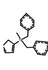 [CH3][Ti]([CH2]c1ccccc1)([CH2]c1ccccc1)[C]1=CC=CC1